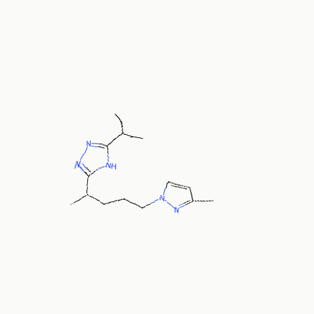 Cc1ccn(CCCC(C)c2nnc(C(C)C)[nH]2)n1